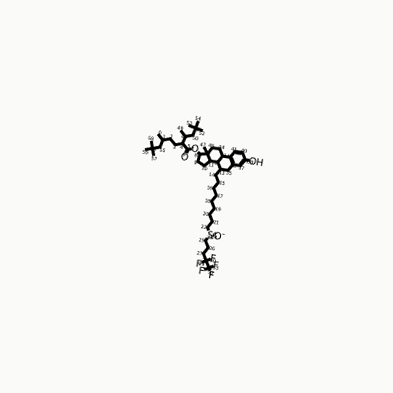 CC(CCC(C(=O)OC1CCC2C3C(CCCCCCCCC[S+]([O-])CCCC(F)(F)C(F)(F)F)Cc4cc(O)ccc4C3CCC12C)C(C)CC(C)(C)C)CC(C)(C)C